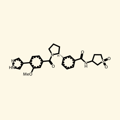 COc1cc(C(=O)N2CCC[C@@H]2c2cccc(C(=O)NC3CCS(=O)(=O)C3)c2)ccc1-c1cn[nH]c1